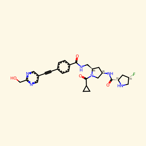 O=C(NC[C@H]1C[C@@H](NC(=O)[C@@H]2C[C@H](F)CN2)CN1C(=O)C1CC1)c1ccc(C#Cc2cnc(CO)nc2)cc1